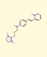 CN1CC[N+](C)=C1SCCN(C)c1ccc(/C=C/c2cccc[n+]2C)cc1